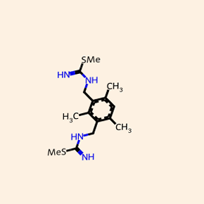 CSC(=N)NCc1c(C)cc(C)c(CNC(=N)SC)c1C